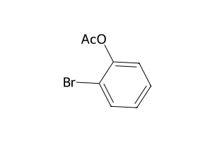 CC(=O)Oc1ccccc1Br